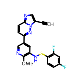 C#Cc1cnc2ccc(-c3cnc(OC)c(NSc4ccc(F)cc4F)c3)nn12